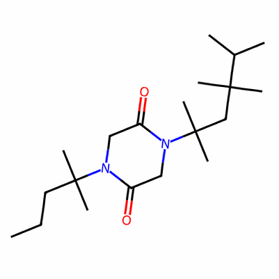 CCCC(C)(C)N1CC(=O)N(C(C)(C)CC(C)(C)C(C)C)CC1=O